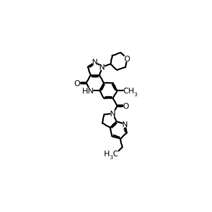 CCc1cnc2c(c1)CCN2C(=O)c1cc2[nH]c(=O)c3cnn(C4CCOCC4)c3c2cc1C